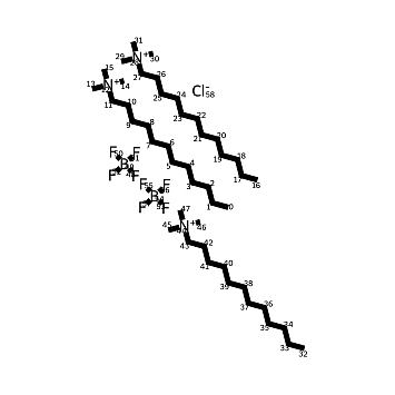 CCCCCCCCCCCC[N+](C)(C)C.CCCCCCCCCCCC[N+](C)(C)C.CCCCCCCCCCCC[N+](C)(C)C.F[B-](F)(F)F.F[B-](F)(F)F.[Cl-]